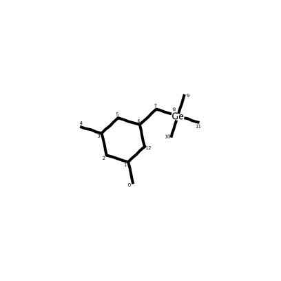 CC1CC(C)CC([CH2][Ge]([CH3])([CH3])[CH3])C1